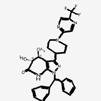 C[C@H]1c2c(C3CCN(c4cnc(C(F)(F)F)cn4)CC3)nn(C(c3ccccc3)c3ccccc3)c2NC(=O)[C@@H]1O